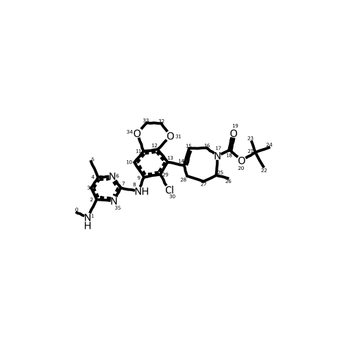 CNc1cc(C)nc(Nc2cc3c(c(C4=CCN(C(=O)OC(C)(C)C)C(C)CC4)c2Cl)OCCO3)n1